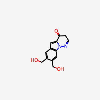 O=C1CC=Nn2c1cc1cc(CO)c(CO)cc12